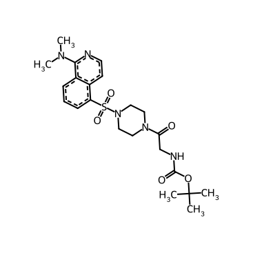 CN(C)c1nccc2c(S(=O)(=O)N3CCN(C(=O)CNC(=O)OC(C)(C)C)CC3)cccc12